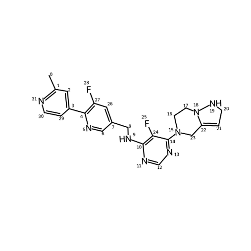 Cc1cc(-c2ncc(CNc3ncnc(N4CCN5NCC=C5C4)c3F)cc2F)ccn1